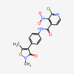 Cc1on(C)c(=O)c1-c1ccc(NC(=O)c2ccnc(Cl)c2[N+](=O)[O-])cc1